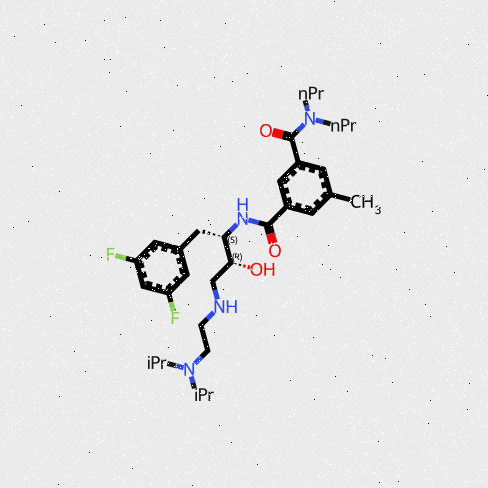 CCCN(CCC)C(=O)c1cc(C)cc(C(=O)N[C@@H](Cc2cc(F)cc(F)c2)[C@H](O)CNCCN(C(C)C)C(C)C)c1